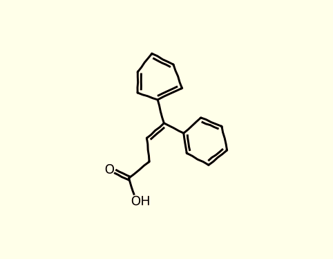 O=C(O)CC=C(c1ccccc1)c1ccccc1